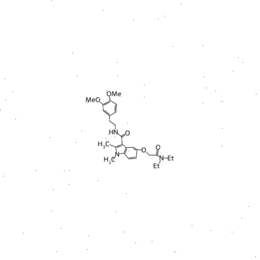 CCN(CC)C(=O)COc1ccc2c(c1)c(C(=O)NCCc1ccc(OC)c(OC)c1)c(C)n2C